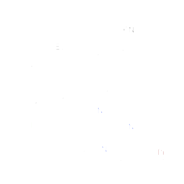 CCc1ccc(F)c(CN(c2ccc(C#N)cc2)c2nc(Br)cn2C)c1